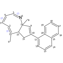 C\C1=C/C=C\C=N/C2(C)C=C(c3cccc4ccccc34)CC12